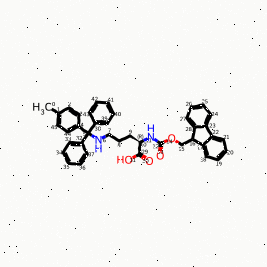 Cc1ccc(C(NCCC[C@@H](NC(=O)OCC2c3ccccc3-c3ccccc32)C(=O)O)(c2ccccc2)c2ccccc2)cc1